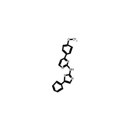 FC(F)(F)Oc1ccc(-c2ccnc(Nc3ncc(-c4ccccc4)s3)n2)cc1